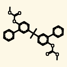 COC(=O)Oc1ccc(C(C)(C)c2ccc(OC(=O)OC)c(-c3ccccc3)c2)cc1-c1ccccc1